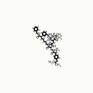 CC(C)Cc1ccc([C@H](C)C(=O)NC[C@@H](NC(=O)CC(NC(=O)OCc2ccccc2)C(=O)OC(C)(C)C)C(=O)NCCCCCCC(=O)OCc2ccccc2)cc1